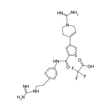 N=C(N)NCCc1ccc(NC(=O)c2cc(C3=CCN(C(=N)N)CC3)cs2)cc1.O=C(O)C(F)(F)F